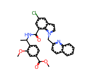 COC(=O)c1ccc(C(C)NC(=O)c2cc(Cl)cc3ccn(Cc4ccc5ccccc5n4)c23)c(OC)c1